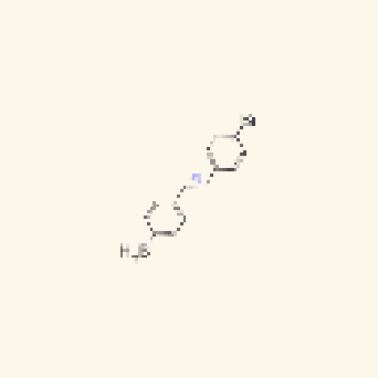 Bc1ccc(/C=C/c2ccc(Br)cc2)cc1